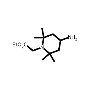 CCOC(=O)CN1C(C)(C)CC(N)CC1(C)C